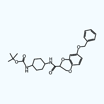 CC(C)(C)OC(=O)NC1CCC(NC(=O)C2COc3ccc(OCc4ccccc4)cc3O2)CC1